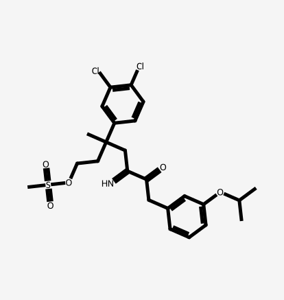 CC(C)Oc1cccc(CC(=O)C(=N)CC(C)(CCOS(C)(=O)=O)c2ccc(Cl)c(Cl)c2)c1